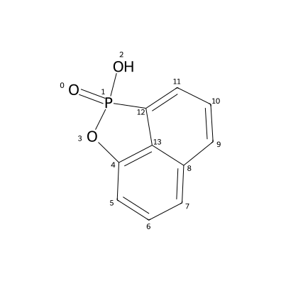 O=P1(O)Oc2cccc3cccc1c23